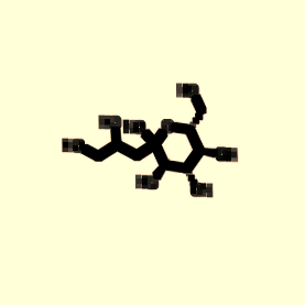 OCC(O)CC1(O)O[C@H](CO)[C@@H](O)[C@H](O)[C@H]1O